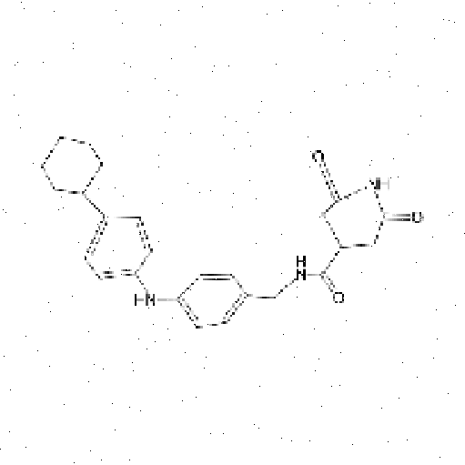 O=C1CC(C(=O)NCc2ccc(Nc3ccc(C4CCCCC4)cc3)cc2)CC(=O)N1